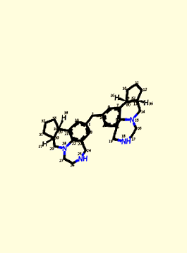 c1c(Cc2cc3c4c(c2)[C@@H]2CCC[C@@H]2CN4CCNC3)cc2c3c1CNCCN3C[C@@H]1CCC[C@H]21